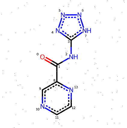 O=C(Nc1nnn[nH]1)c1cnccn1